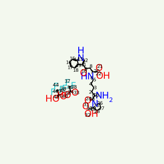 N[C@@H](CCCCNC(CC(=O)c1c[nH]c2ccccc12)C(=O)O)C(=O)N1CCC[C@H]1C(=O)O.O=C(O)C(F)(F)F.O=C(O)C(F)(F)F